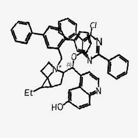 CCC1C2CC([C@@H](Oc3nc(-c4ccccc4)nc(Cl)c3-c3ccccc3)c3ccnc4ccc(O)cc34)[N+]3(Cc4cc(-c5ccccc5)ccc4-c4ccccc4)CCC123